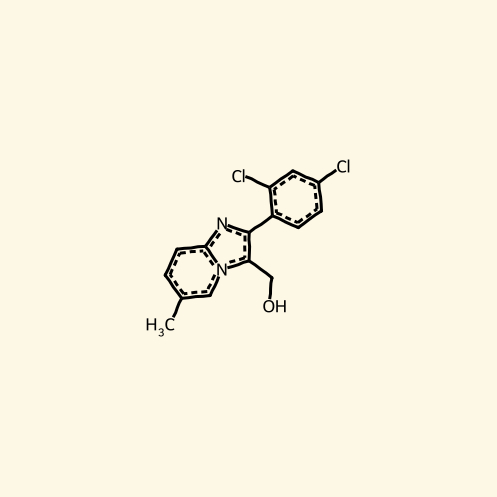 Cc1ccc2nc(-c3ccc(Cl)cc3Cl)c(CO)n2c1